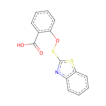 O=C(O)c1ccccc1OSc1nc2ccccc2s1